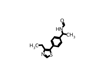 CCc1ncsc1-c1ccc(C(C)NC=O)cc1